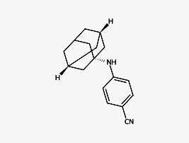 N#Cc1ccc(N[C@]23CC4C[C@H](C[C@H](C4)C2)C3)cc1